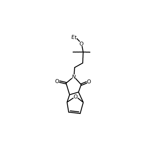 CCOC(C)(C)CCN1C(=O)C2C3C=CC(O3)C2C1=O